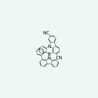 N#Cc1ccc2c3ccc(C#N)c4c3n(c2c1)-c1ccccc1B4n1c2ccccc2c2cccc(-c3ccccc3)c21